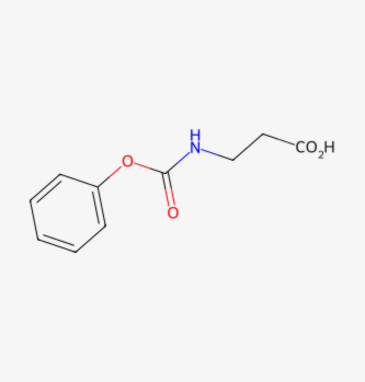 O=C(O)CCNC(=O)Oc1ccccc1